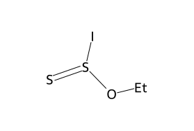 CCOS(=S)I